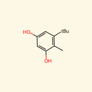 Cc1c(O)cc(O)cc1C(C)(C)C